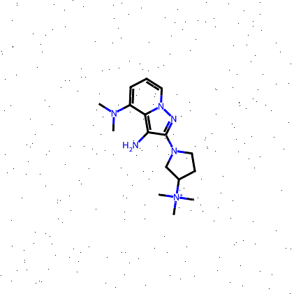 CN(C)c1cccn2nc(N3CCC([N+](C)(C)C)C3)c(N)c12